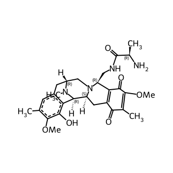 COC1=C(C)C(=O)C2=C(C1=O)[C@H](CNC(=O)[C@@H](C)N)N1C[C@H]3Cc4cc(C)c(OC)c(O)c4[C@H]([C@@H]1C2)N3C